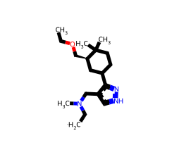 [CH2]CN(C)Cc1c[nH]nc1C1CCC(C)(C)[C@H](COCC)C1